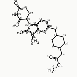 COC(=O)C[C@H]1CC[C@@H](Cc2ccc3c(c2)n(C)c(=O)n3C2CCC(=O)NC2=O)CC1